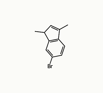 CC1=CC(C)c2cc(Br)ccc21